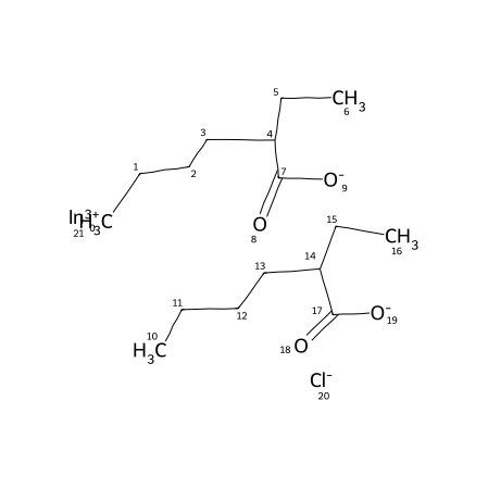 CCCCC(CC)C(=O)[O-].CCCCC(CC)C(=O)[O-].[Cl-].[In+3]